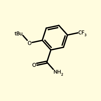 CC(C)(C)Oc1ccc(C(F)(F)F)cc1C(N)=O